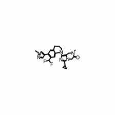 CN1Cc2c(N3CCCc4cc(-c5cnn(C)c5)c(C(F)F)cc43)nc(C3CC3)n2CC1=O